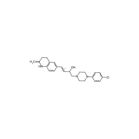 C=C1CCc2cc(/C=C/C(O)CN3CCN(c4ccc(Cl)cc4)CC3)ccc2N1